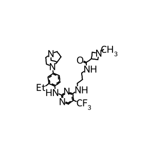 CCc1cc(N2CCN3CCC2C3)ccc1Nc1ncc(C(F)(F)F)c(NCCCNC(=O)C2CN(C)C2)n1